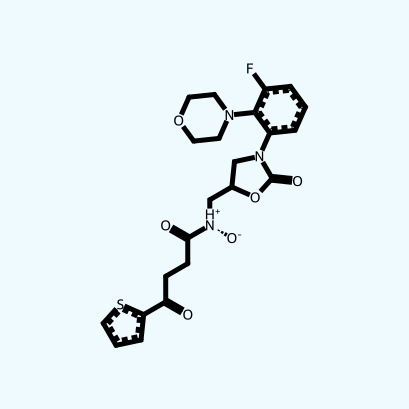 O=C(CCC(=O)[N@@H+]([O-])CC1CN(c2cccc(F)c2N2CCOCC2)C(=O)O1)c1cccs1